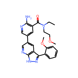 CCN(CCOC)C(=O)c1cc(-c2cnc3[nH]nc(-c4ccccc4OC)c3c2)cnc1N